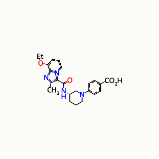 CCOc1cccn2c(C(=O)N[C@H]3CCCN(c4ccc(C(=O)O)cc4)C3)c(C)nc12